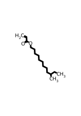 C=CC(=O)OCCCCCCCCCC(C)CC